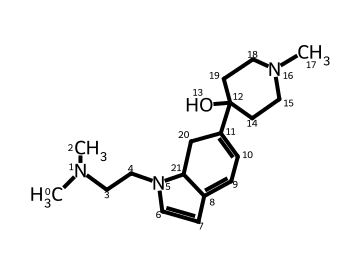 CN(C)CCN1C=CC2=CC=C(C3(O)CCN(C)CC3)CC21